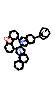 c1ccc(-c2ccc(N(c3ccc(C45CC6CC(CC4C6)C5)cc3)c3cccc4oc5cccc(N(c6ccccc6)c6ccccc6)c5c34)cc2)cc1